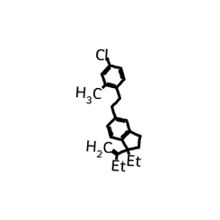 C=C(CC)C1(CC)CCc2cc(CCc3ccc(Cl)cc3C)ccc21